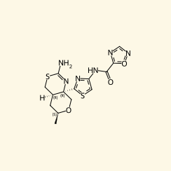 C[C@H]1C[C@H]2CSC(N)=N[C@@]2(c2nc(NC(=O)c3ncno3)cs2)CO1